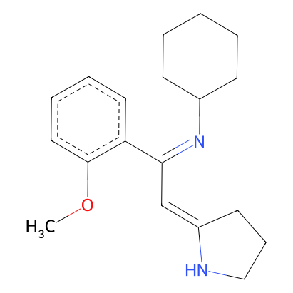 COc1ccccc1C(C=C1CCCN1)=NC1CCCCC1